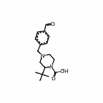 CC(C)(C)C1CN(Cc2ccc(C=O)cc2)CCN1C(=O)O